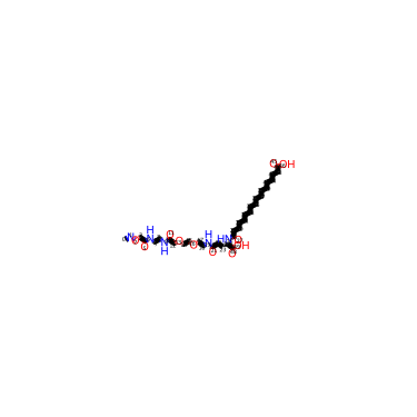 C=NOCC(=O)NCCNC(=O)COCCOCCNC(=O)CC[C@H](NC(=O)CCCCCCCCCCCCCCCCC(=O)O)C(=O)O